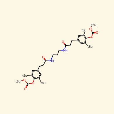 CC(C)(C)OC(=O)Oc1c(C(C)(C)C)cc(CCC(=O)NCCCNC(=O)CCc2cc(C(C)(C)C)c(OC(=O)OC(C)(C)C)c(C(C)(C)C)c2)cc1C(C)(C)C